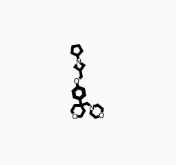 c1cc(C2(CN3CCOCC3)CCOCC2)ccc1OCC1CN(C2CCCC2)C1